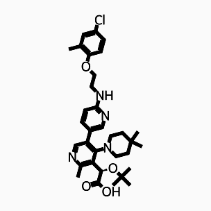 Cc1cc(Cl)ccc1OCCNc1ccc(-c2cnc(C)c([C@H](OC(C)(C)C)C(=O)O)c2N2CCC(C)(C)CC2)cn1